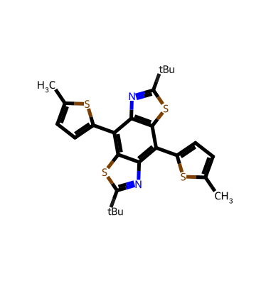 Cc1ccc(-c2c3nc(C(C)(C)C)sc3c(-c3ccc(C)s3)c3nc(C(C)(C)C)sc23)s1